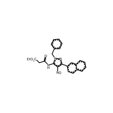 CCOC(=O)CC(=O)Nc1c(N=O)c(-c2ccc3ccccc3c2)nn1Cc1ccccc1